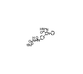 CC(C)(C)OC(=O)NCC(=O)Nc1ccc(-c2cn(-c3ccccc3)c3nc[nH]c(=O)c23)cc1